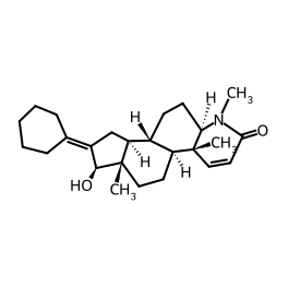 CN1C(=O)C=C[C@]2(C)[C@H]3CC[C@]4(C)[C@@H](O)C(=C5CCCCC5)C[C@H]4[C@@H]3CC[C@@H]12